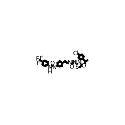 CC(C)c1ccc(Cl)cc1N1C(=O)CSC1=NC(=O)NCCc1ccc(NC(=O)Nc2ccc(C(F)(F)F)cc2)cc1